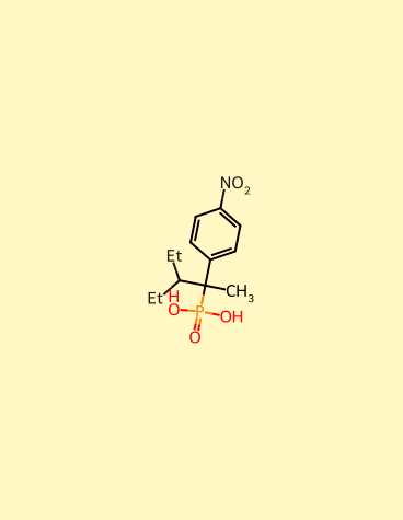 CCC(CC)C(C)(c1ccc([N+](=O)[O-])cc1)P(=O)(O)O